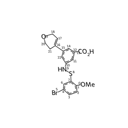 COc1ccc(Br)cc1SNc1cc(C(=O)O)cc(C2=CCOCC2)c1